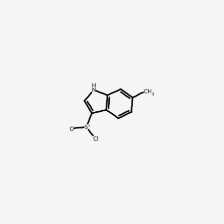 Cc1ccc2c([S+]([O-])Cl)c[nH]c2c1